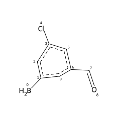 Bc1cc(Cl)cc(C=O)c1